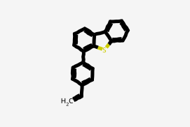 C=Cc1ccc(-c2cccc3c2sc2ccccc23)cc1